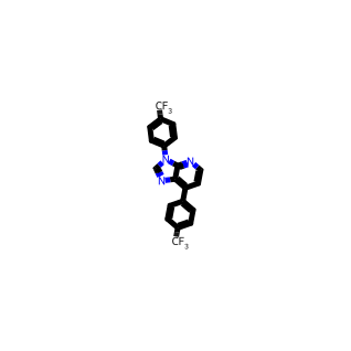 FC(F)(F)c1ccc(-c2ccnc3c2ncn3-c2ccc(C(F)(F)F)cc2)cc1